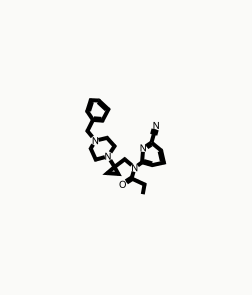 CCC(=O)N(CC1(N2CCN(Cc3ccccc3)CC2)CC1)c1cccc(C#N)n1